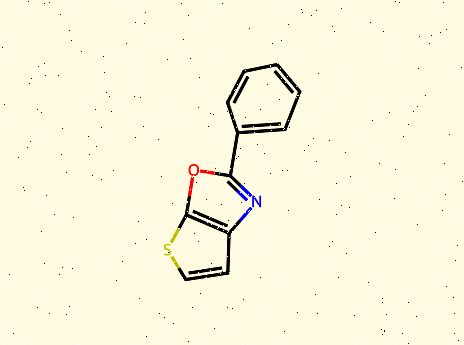 c1ccc(-c2nc3ccsc3o2)cc1